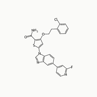 NC(=O)c1sc(-n2cnc3cc(-c4ccnc(F)c4)ccc32)cc1OCCc1ccccc1Cl